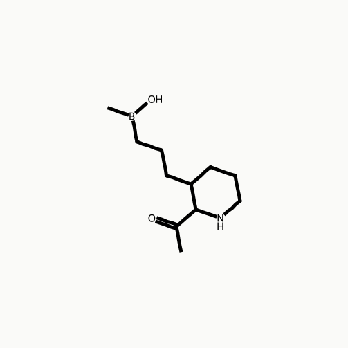 CB(O)CCCC1CCCNC1C(C)=O